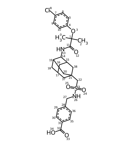 CC(C)(Oc1ccc(Cl)cc1)C(=O)NC1C2CC3CC1CC(CS(=O)(=O)NCc1ccc(C(=O)O)cc1)(C3)C2